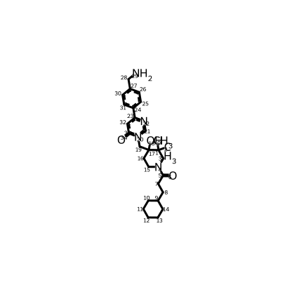 CC1(C)CN(C(=O)CCC2CCCCC2)CCC1(O)Cn1cnc(-c2ccc(CN)cc2)cc1=O